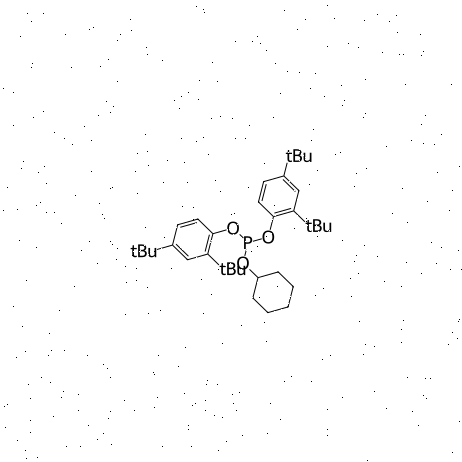 CC(C)(C)c1ccc(OP(Oc2ccc(C(C)(C)C)cc2C(C)(C)C)OC2CCCCC2)c(C(C)(C)C)c1